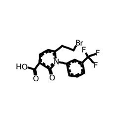 O=C(O)c1ccc(CCBr)n(-c2cccc(C(F)(F)F)c2)c1=O